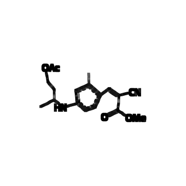 COC(=O)C(C#N)=Cc1ccc(NC(C)CCOC(C)=O)cc1C